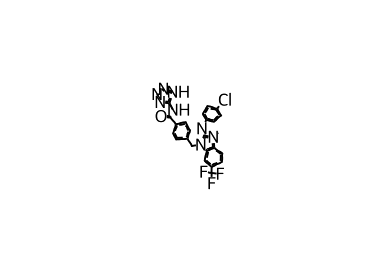 Cn1c(=Nc2ccc(Cl)cc2)n(Cc2ccc(C(=O)Nc3nnn[nH]3)cc2)c2cc(C(F)(F)F)ccc21